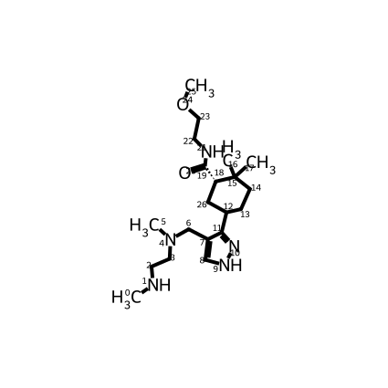 CNCCN(C)Cc1c[nH]nc1C1CCC(C)(C)[C@@H](C(=O)NCCOC)C1